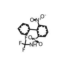 O=[N+]([O-])c1cccc(S(=O)(=O)NC(F)(F)F)c1-c1ccccc1